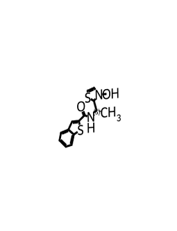 C[C@H](NC(=O)c1cc2ccccc2s1)C1SC=CN1O